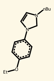 CCCCN1C=CN(c2ccc(OCC)cc2)C1